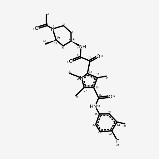 CC(=O)N1CC[C@@H](NC(=O)C(=O)c2c(C)c(C(=O)Nc3ccc(F)c(C)c3)c(C)n2C)C[C@H]1C